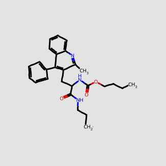 [CH2]CCNC(=O)C(Cc1c(C)nc2ccccc2c1-c1ccccc1)NC(=O)OCCCC